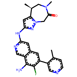 Cc1ccncc1-c1cc2cc(Nc3cc4n(n3)CC(=O)N(C)C[C@@H]4C)ncc2c(N)c1F